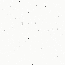 C/C(=C\c1ccccc1)[C@@H]1C[C@H]1N(C(=O)OC(C)(C)C)C1CCN(CCO[Si](C)(C)C(C)(C)C)CC1